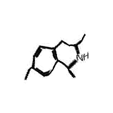 Cc1ccc2c(c1)C(C)NC(C)C2